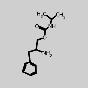 CC(C)NC(=O)OCC(N)Cc1ccccc1